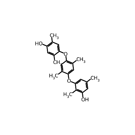 Cc1cc(O)c(C)c(Oc2cc(C)c(Oc3cc(C)c(O)cc3C)cc2C)c1